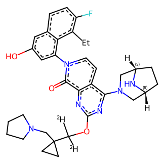 [2H]C([2H])(Oc1nc(N2C[C@H]3CC[C@@H](C2)N3)c2ccn(-c3cc(O)cc4ccc(F)c(CC)c34)c(=O)c2n1)C1(CN2CCCC2)CC1